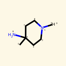 [2H]N1CCC(C)(N)CC1